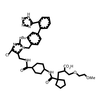 CCCCc1nc(Cl)c(CNC(=O)C2CCC(NC(=O)C3(CC(COCCOC)C(=O)O)CCCC3)CC2)n1Cc1ccc(-c2ccccc2-c2nnn[nH]2)cc1